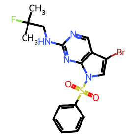 CC(C)(F)CNc1ncc2c(Br)cn(S(=O)(=O)c3ccccc3)c2n1